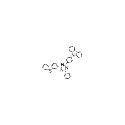 c1ccc(-c2nc(-c3ccc(-n4c5ccccc5c5ccccc54)cc3)nc(-c3ccc4c(c3)sc3ccccc34)n2)cc1